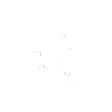 O=C1CCC(Nc2cc(C(=O)N3CCCC3)ccn2)C(=O)N1